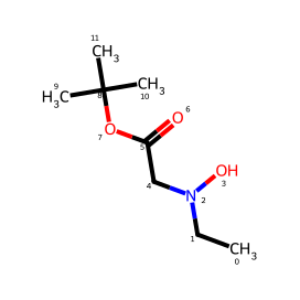 CCN(O)CC(=O)OC(C)(C)C